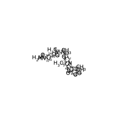 CCc1c2c(nc3ccc(OC(=O)N(C)CCN(C)C(=O)OCc4ccc(NC(N)=O)cc4)cc13)-c1cc3c(c(=O)n1C2)COC(=O)[C@]3(O)CC